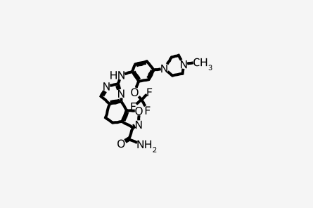 CN1CCN(c2ccc(Nc3ncc4c(n3)-c3onc(C(N)=O)c3CC4)c(OC(F)(F)F)c2)CC1